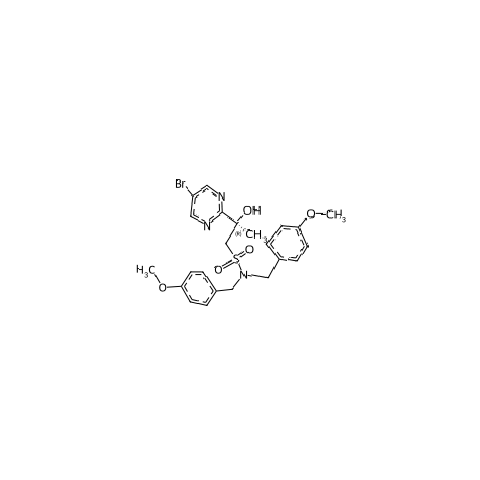 COc1ccc(CN(Cc2ccc(OC)cc2)S(=O)(=O)C[C@](C)(O)c2ncc(Br)cn2)cc1